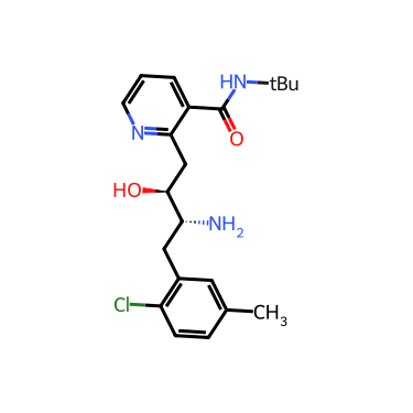 Cc1ccc(Cl)c(C[C@@H](N)[C@@H](O)Cc2ncccc2C(=O)NC(C)(C)C)c1